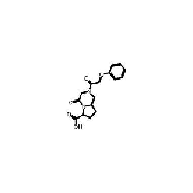 O=C(O)C1CCC2CN(C(=O)COc3ccccc3)CC(=O)N21